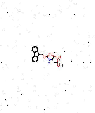 [2H]OC(=O)C[C@H](NC(=O)OCC1c2ccccc2-c2ccccc21)C(=O)O